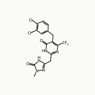 Cn1nc(Cc2nc(C(F)(F)F)c(Cc3ccc(Cl)c(Cl)c3)c(=O)[nH]2)[nH]c1=O